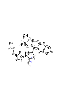 C=C(/C=C\C(=C/C)N[C@H]1CCN(CCCF)C1)[C@@H]1c2cc3c(cc2C[C@@H](C)N1CC(F)(F)CO)OCO3